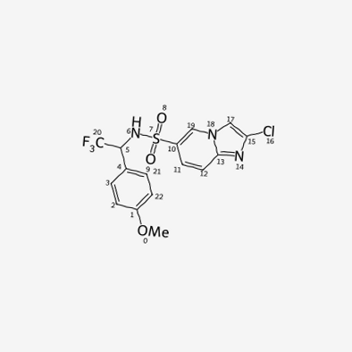 COc1ccc(C(NS(=O)(=O)c2ccc3nc(Cl)cn3c2)C(F)(F)F)cc1